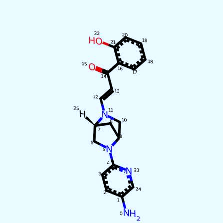 Nc1ccc(N2C[C@H]3CC2CN3/C=C/C(=O)c2ccccc2O)nc1